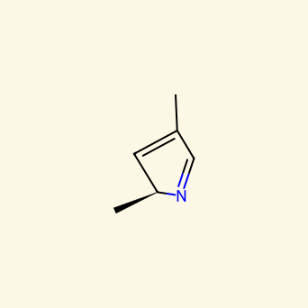 CC1=C[C@H](C)N=C1